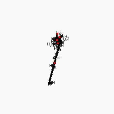 CNC(=O)[C@H](CO)NC(=O)[C@H](CCC(N)=O)NC(=O)[C@@H](CCCCN)NC(=O)[C@H](CO)NC(=O)[C@H](CCC(N)=O)NC(=O)[C@@H](CO)NC(=O)CNC(=O)COCCOCCNC(=O)COCCOCCNC(=O)CCCCCCCCCCCCCCCc1nnn[nH]1